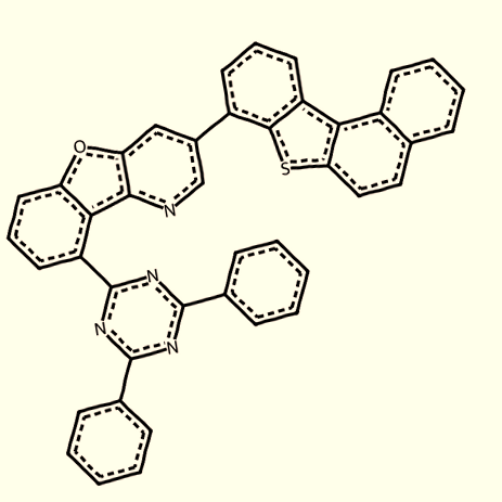 c1ccc(-c2nc(-c3ccccc3)nc(-c3cccc4oc5cc(-c6cccc7c6sc6ccc8ccccc8c67)cnc5c34)n2)cc1